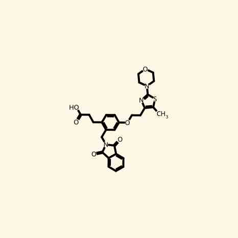 Cc1sc(N2CCOCC2)nc1CCOc1ccc(CCC(=O)O)c(CN2C(=O)c3ccccc3C2=O)c1